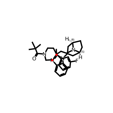 Cc1nc2ccccc2n1C1C[C@H]2CC[C@@H](C1)N2CCC1(c2cccc(F)c2)CCN(C(=O)C(C)(C)C)CC1